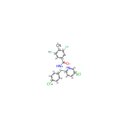 N#Cc1c(F)cc(C(=O)N[C@@H](c2ccc(Cl)cc2)c2ccc(Cl)cn2)cc1F